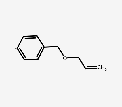 C=CCOCc1cc[c]cc1